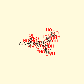 CC(=O)N[C@H]1[C@H](O[C@H]2[C@@H](O)[C@@H](CO)O[C@@H](O[C@H]3[C@H](O)[C@@H](O)[C@H](O)O[C@@H]3CO)[C@@H]2O)O[C@H](CO)[C@@H](O[C@@H]2O[C@@H](C)[C@@H](O)[C@@H](O)[C@@H]2O)[C@@H]1O[C@@H]1O[C@H](CO)[C@H](O)[C@H](O[C@]2(C(=O)O)C[C@H](O)[C@@H](NC(C)=O)[C@H]([C@H](O)[C@H](O)CO)O2)[C@H]1O